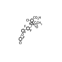 CC1(C)COC[C@H]1n1c(Cc2cc(F)c(-c3cccc(OCc4ccc(Cl)cc4F)n3)cc2F)nc2c(Cl)cc(C(=O)O)cc21